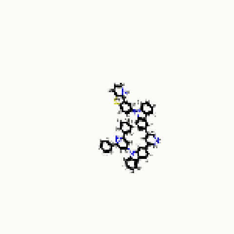 c1ccc(-c2cc(-n3c4ccccc4c4ccc(-c5cncc(-c6ccc7c(c6)c6ccccc6n7-c6ccc7sc8cccnc8c7c6)c5)cc43)cc(-c3ccccc3)n2)cc1